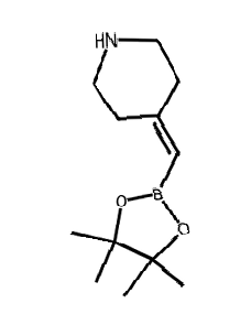 CC1(C)OB(C=C2CCNCC2)OC1(C)C